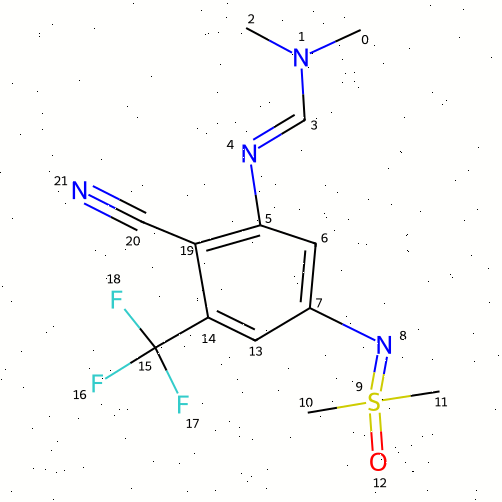 CN(C)C=Nc1cc(N=S(C)(C)=O)cc(C(F)(F)F)c1C#N